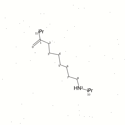 C=C(CCCCCCCNC(C)C)C(C)C